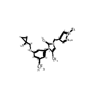 CCn1cc(Cn2cc(C)n(-c3cc(OCC4(F)CC4)cc(C(F)(F)F)c3)c2=O)cn1